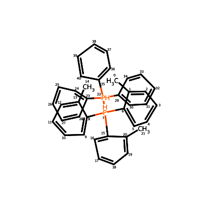 Cc1ccccc1[PH](c1ccccc1C)(c1ccccc1C)[PH](c1ccccc1)(c1ccccc1)c1ccccc1